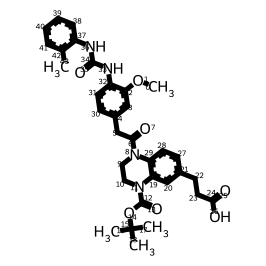 COc1cc(CC(=O)N2CCN(C(=O)OC(C)(C)C)c3cc(CCC(=O)O)ccc32)ccc1NC(=O)Nc1ccccc1C